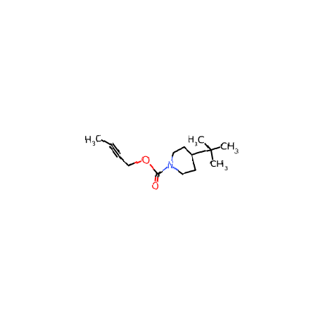 CC#CCOC(=O)N1CCC(C(C)(C)C)CC1